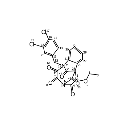 CCON1C(=O)N2C(=O)C(=O)[N+]3(Cc4ccc(Cl)c(Cl)c4)C(=O)C1(C2=O)c1ccccc13